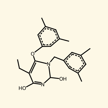 CCC1=C(Oc2cc(C)cc(C)c2)N(Cc2cc(C)cc(C)c2)C(O)N=C1O